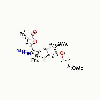 COCCCOc1cc(C[C@@H](CC(N=[N+]=[N-])C2C[C@@H](C(C)C)C(=O)O2)C(C)C)ccc1OC